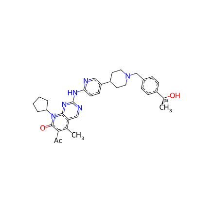 CC(=O)c1c(C)c2cnc(Nc3ccc(C4CCN(Cc5ccc([C@H](C)O)cc5)CC4)cn3)nc2n(C2CCCC2)c1=O